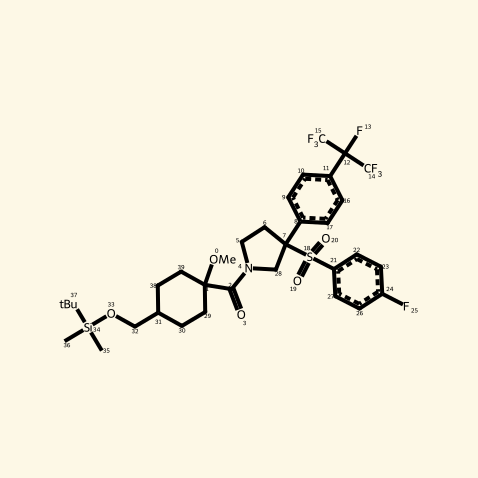 COC1(C(=O)N2CCC(c3ccc(C(F)(C(F)(F)F)C(F)(F)F)cc3)(S(=O)(=O)c3ccc(F)cc3)C2)CCC(CO[Si](C)(C)C(C)(C)C)CC1